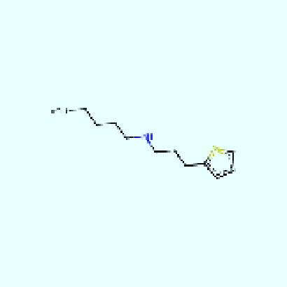 CCCCCCCCCCCCNCCCc1cc[c]s1